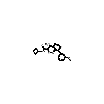 COc1cccc(-c2cccc3c(N)c(C(=O)NC4CCC4)nnc23)c1